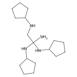 [SiH3]C(CNC1CCCC1)(NC1CCCC1)NC1CCCC1